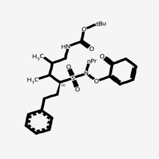 CCCN(OC1=CC=CCC1=O)S(=O)(=O)[C@@H](CCc1ccccc1)C(C)C(C)CNC(=O)OC(C)(C)C